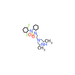 CC1CN(CCN2c3ccccc3N(c3c(F)cccc3F)S2(=O)=O)CC(C)N1